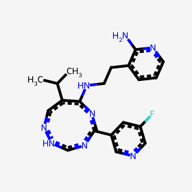 CC(C)c1cn[nH]cnc(-c2cncc(F)c2)nc1NCCc1cccnc1N